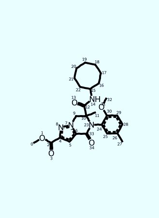 COC(=O)c1cc2n(n1)CC(C)(C(=O)NC1CCCCCCC1)N(c1cc(C)ccc1OC)C2=O